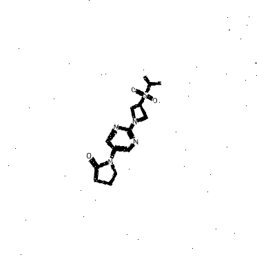 CC(C)S(=O)(=O)C1CN(c2ncc(N3CCCC3=O)cn2)C1